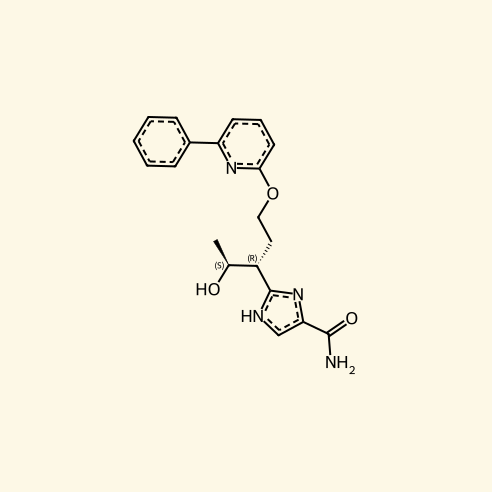 C[C@H](O)[C@H](CCOc1cccc(-c2ccccc2)n1)c1nc(C(N)=O)c[nH]1